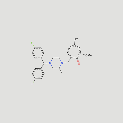 COc1cc(C(C)C)ccc(CN2CCN(C(c3ccc(F)cc3)c3ccc(F)cc3)CC2C)c1=O